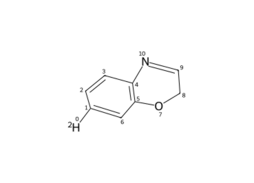 [2H]c1ccc2c(c1)OCC=N2